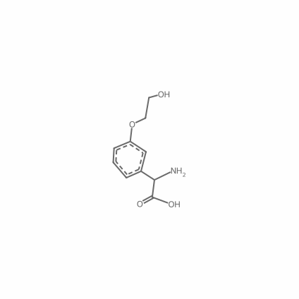 NC(C(=O)O)c1cccc(OCCO)c1